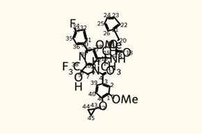 COc1cc(C(=O)NCC(O)(c2cc(C(C)(C)NC(=O)OCc3ccccc3)c(OC)c(-c3ccc(F)cc3)n2)C(F)(F)F)ccc1OC1CC1